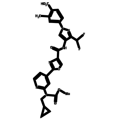 Cc1cc(-n2cc(NC(=O)c3coc(-c4ccnc(N(CC5CC5)C(=O)OC(C)(C)C)c4)n3)c(C(F)F)n2)ccc1C(=O)O